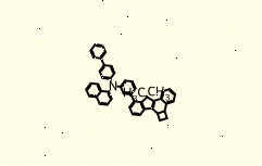 CC1(C)C2=C(c3cccc(-c4cccc(N(c5ccc(-c6ccccc6)cc5)c5cccc6ccccc56)c4)c31)C1CCC1c1ccccc12